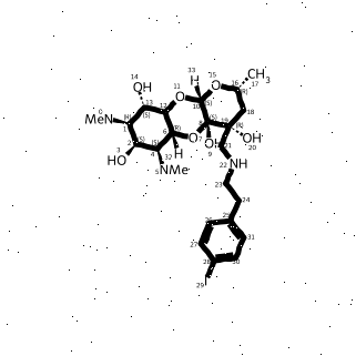 CN[C@@H]1[C@H](O)[C@H](NC)[C@H]2O[C@]3(O)[C@H](OC2[C@H]1O)O[C@H](C)C[C@@]3(O)CNCCc1ccc(I)cc1